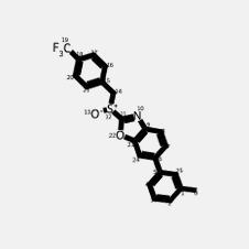 Cc1cccc(-c2ccc3nc([S+]([O-])Cc4ccc(C(F)(F)F)cc4)oc3c2)c1